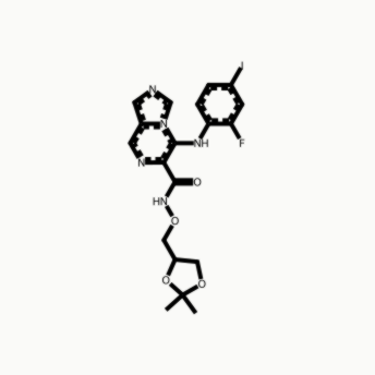 CC1(C)OCC(CONC(=O)c2ncc3cncn3c2Nc2ccc(I)cc2F)O1